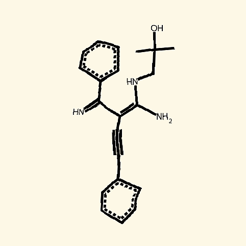 CC(C)(O)CN/C(N)=C(/C#Cc1ccccc1)C(=N)c1ccccc1